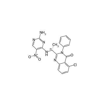 C[C@@H](Nc1nc(N)ncc1[N+](=O)[O-])c1nc2cccc(Cl)c2c(=O)n1-c1ccccc1